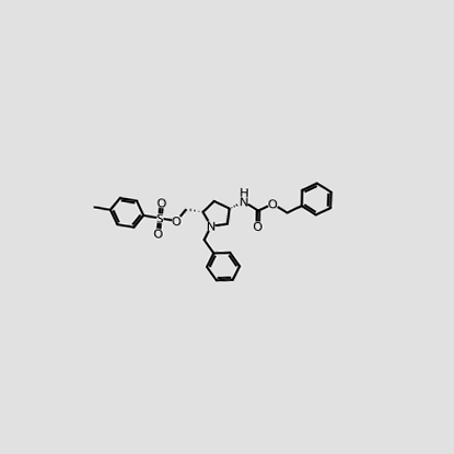 Cc1ccc(S(=O)(=O)OC[C@@H]2C[C@H](NC(=O)OCc3ccccc3)CN2Cc2ccccc2)cc1